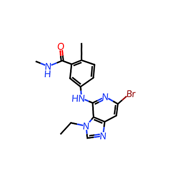 CCn1cnc2cc(Br)nc(Nc3ccc(C)c(C(=O)NC)c3)c21